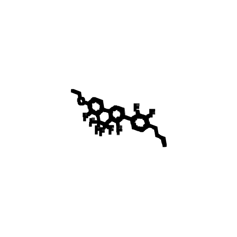 C=CCCc1ccc(-c2ccc3c(c2F)C(F)(F)C(F)(F)c2c-3ccc(OCC)c2F)c(F)c1F